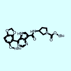 CCCCOc1ccc2c(c1-c1ncnc3c(C(=O)NC4CCN(C(=O)OC(C)(C)C)C4)c[nH]c13)OCO2